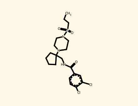 CCCS(=O)(=O)N1CCN(C2(CNC(=O)c3ccc(Cl)c(Cl)c3)CCCC2)CC1